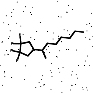 CCCCCCC(C)C1CC(F)(F)C(F)(F)C1